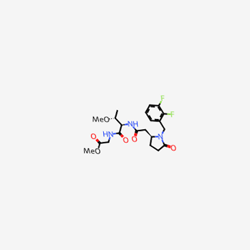 COC(=O)CNC(=O)[C@H](NC(=O)C[C@@H]1CCC(=O)N1Cc1cccc(F)c1F)[C@@H](C)OC